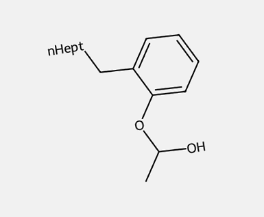 CCCCCCCCc1ccccc1OC(C)O